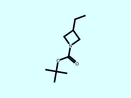 CCC1CN(C(=O)OC(C)(C)C)C1